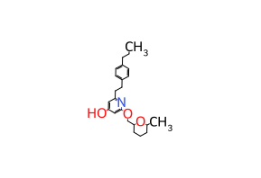 CCCc1ccc(CCc2cc(O)cc(OCC3CCCC(C)O3)n2)cc1